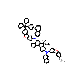 Cc1ccc2oc3ccc(N(c4ccc5c(c4)C(C)(C)c4cc(N(c6ccc7ccccc7c6)c6ccc7oc8ccc([Si](c9ccccc9)(c9ccccc9)c9ccccc9)cc8c7c6)c6ccccc6c4-5)c4ccc5ccccc5c4)cc3c2c1